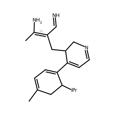 CC1=CC=C(C2=CC=NCC2C/C(C=N)=C(\C)N)C(C(C)C)C1